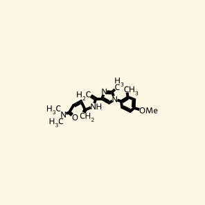 C=C(/C=C\C(=O)N(C)C)NC(=C)c1cn(-c2ccc(OC)cc2C)c(C)n1